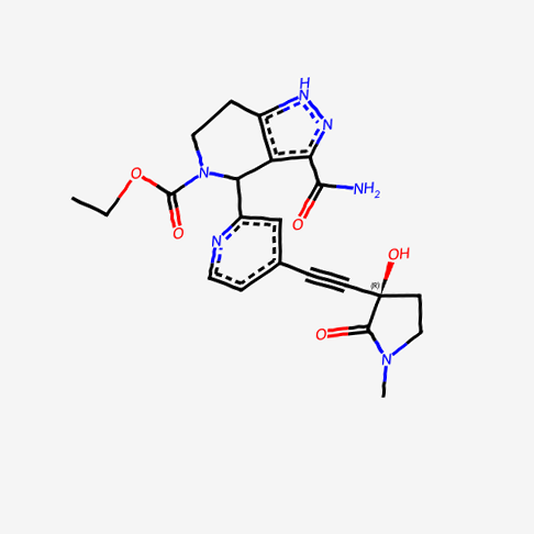 CCOC(=O)N1CCc2[nH]nc(C(N)=O)c2C1c1cc(C#C[C@]2(O)CCN(C)C2=O)ccn1